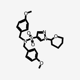 COc1ccc(CN(Cc2ccc(OC)cc2)S(=O)(=O)c2cnn(C3CCCCO3)c2)cc1